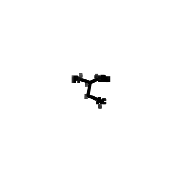 CC(=O)CC(C(C)C)C(C)(C)C